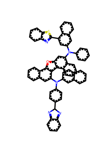 c1ccc(N(c2cc(-c3nc4ccccc4s3)c3ccccc3c2)c2cc3oc4c5ccccc5cc(N(c5ccc(C6N=c7ccccc7=N6)cc5)c5ccc6ccccc6c5)c4c3c3ccccc23)cc1